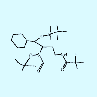 CC(C)(C)ON(C=O)C(CCNC(=O)C(F)(F)F)C(O[Si](C)(C)C(C)(C)C)C1CCCCC1